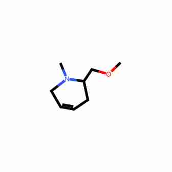 COCC1CC=CCN1C